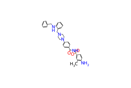 Cc1cc(S(=O)(=O)NC(=O)c2ccc(N3CCN(Cc4ccccc4NCc4ccccc4)CC3)cc2)ccc1N